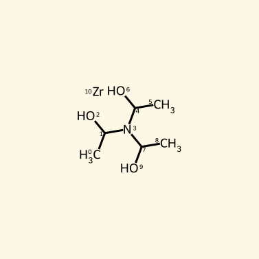 CC(O)N(C(C)O)C(C)O.[Zr]